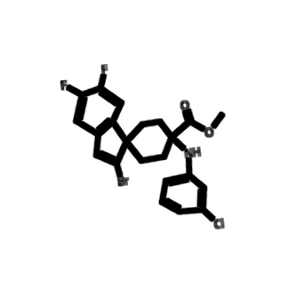 COC(=O)C1(Nc2cccc(Cl)c2)CCC2(CC1)C(Br)=Cc1cc(F)c(F)cc12